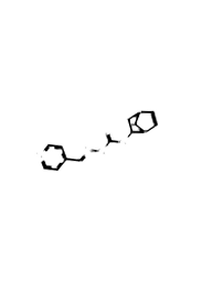 S=C(NN=Cc1ccncc1)NC1CC2C=CC1C2